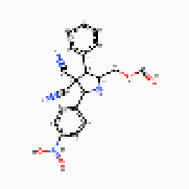 N#CC1(C#N)C(c2ccc([N+](=O)[O-])cc2)NC(COC=O)C1c1ccccc1